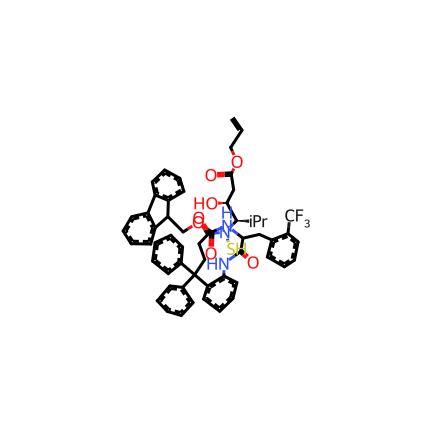 C=CCOC(=O)C[C@H](O)[C@@H](C(C)C)N(S)C(=O)CCC(c1ccccc1)(c1ccccc1)c1ccccc1NC(=O)C(Cc1ccccc1C(F)(F)F)NC(=O)OCC1c2ccccc2-c2ccccc21